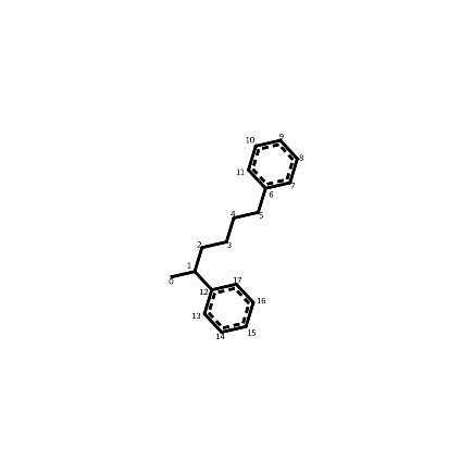 CC(CCCCc1ccccc1)c1ccccc1